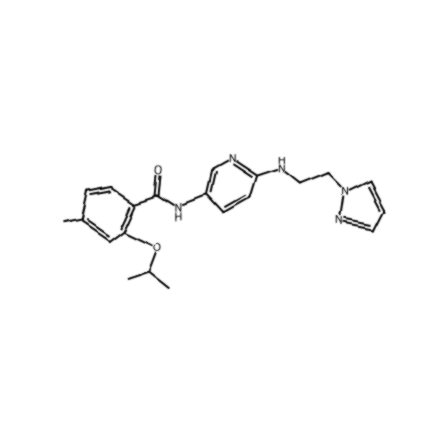 Cc1ccc(C(=O)Nc2ccc(NCCn3cccn3)nc2)c(OC(C)C)c1